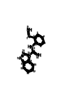 N=Nc1ccccc1NC(=N)n1nnc2ccccc21